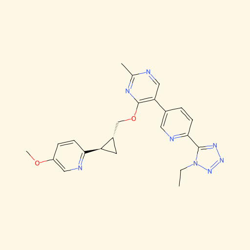 CCn1nnnc1-c1ccc(-c2cnc(C)nc2OC[C@@H]2C[C@H]2c2ccc(OC)cn2)cn1